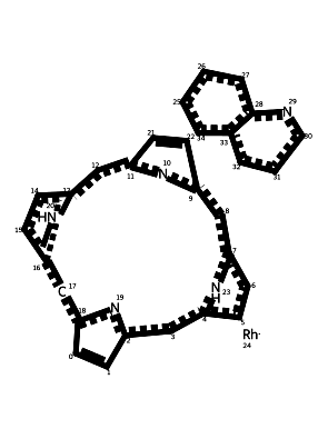 C1=Cc2cc3ccc(cc4nc(cc5ccc(cc1n2)[nH]5)C=C4)[nH]3.[Rh].c1ccc2ncccc2c1